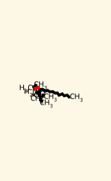 CCCCCCCCCCCCCC(CCCC)C(CCCC)(OCC)C(N)(OCC)OCC